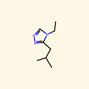 CCn1cnnc1CC(C)C